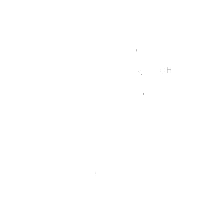 Cc1ccc(S(=O)(=O)O)c(CC2CCOCC2)c1